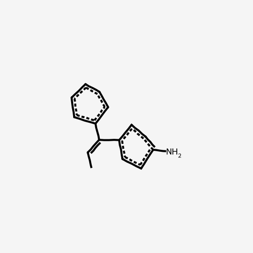 CC=C(c1ccccc1)c1ccc(N)cc1